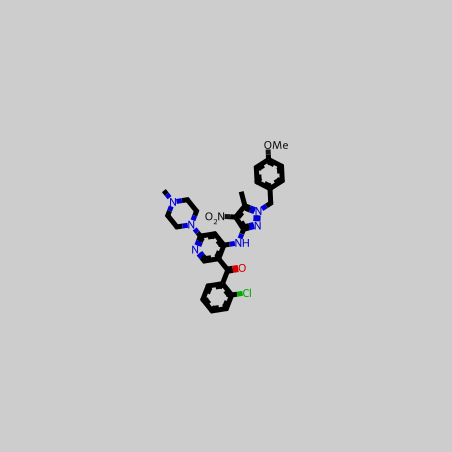 COc1ccc(Cn2nc(Nc3cc(N4CCN(C)CC4)ncc3C(=O)c3ccccc3Cl)c([N+](=O)[O-])c2C)cc1